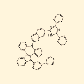 c1ccc(C2=NC(c3ccc4ccc(N5c6ccccc6-c6c(n(-c7cccc(-c8ccccc8)c7)c7ccccc67)-c6ccccc65)cc4c3)NC(c3ccccc3)=N2)cc1